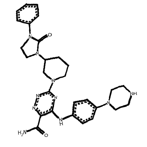 NC(=O)c1nnc(N2CCCC(N3CCN(c4ccccc4)C3=O)C2)nc1Nc1ccc(N2CCNCC2)cc1